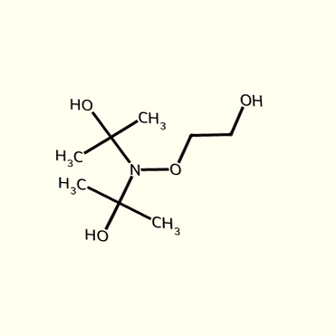 CC(C)(O)N(OCCO)C(C)(C)O